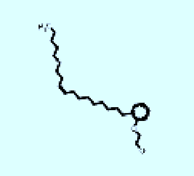 CCCCCCCC/C=C\CCCCCCCCc1ccccc1OCC[O]